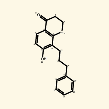 O=C1CCOc2c1ccc(O)c2CCCc1ccccc1